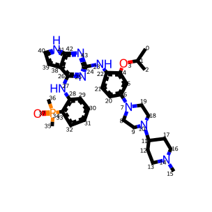 CC(C)Oc1cc(N2CCN(C3CCN(C)CC3)CC2)ccc1Nc1nc(Nc2ccccc2P(C)(C)=O)c2cc[nH]c2n1